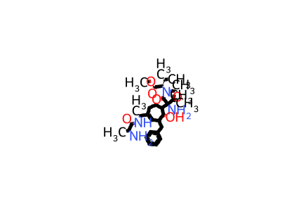 COC(=O)[C@H](C(C)C)N(C(C)=O)C(=O)[C@@](N)(C(C)C)C1CCC([C@H](C)NC(=O)C(C)N)=CC(Cc2ccccc2)C1O